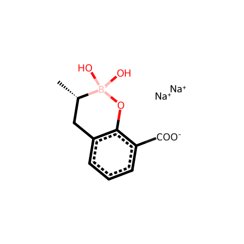 C[C@H]1Cc2cccc(C(=O)[O-])c2O[B-]1(O)O.[Na+].[Na+]